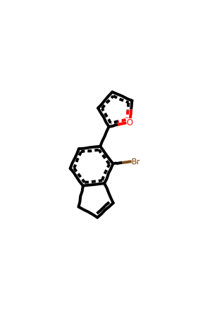 Brc1c(-c2ccco2)ccc2c1C=CC2